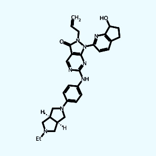 C=CCn1c(=O)c2cnc(Nc3ccc(N4C[C@H]5CN(CC)C[C@H]5C4)cc3)nc2n1-c1ccc2c(n1)C(O)CC2